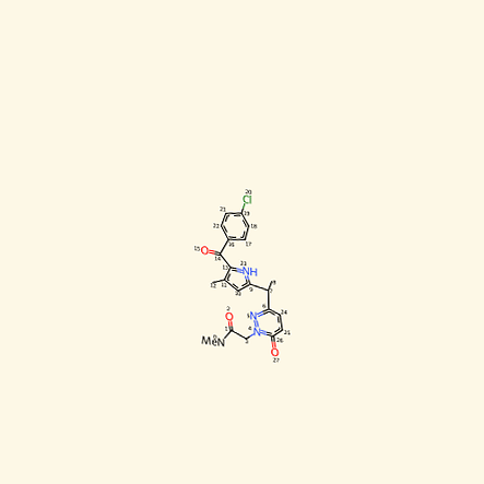 CNC(=O)Cn1nc(C(C)c2cc(C)c(C(=O)c3ccc(Cl)cc3)[nH]2)ccc1=O